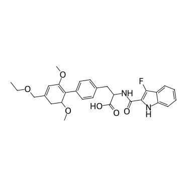 CCOCC1=CC(OC)=C(c2ccc(CC(NC(=O)c3[nH]c4ccccc4c3F)C(=O)O)cc2)C(OC)C1